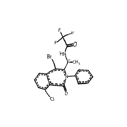 C[C@H](NC(=O)C(F)(F)F)c1c(Br)c2cccc(Cl)c2c(=O)n1-c1ccccc1